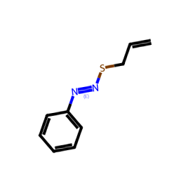 C=CCS/N=N/c1ccccc1